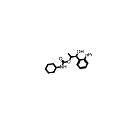 CCCc1ccccc1C(O)C(C)OC(=O)NC1CCCCC1